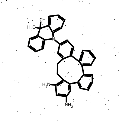 CC1(C)c2ccccc2N(c2ccc3c(c2)CCc2c(N)cc(N)cc2-c2ccccc2-c2ccccc2-3)c2ccccc21